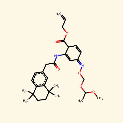 C=CCOC(=O)C1C=C/C(=N/OCOC(C)OC)C=C1NC(=O)Cc1ccc2c(c1)C(C)(C)CCC2(C)C